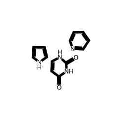 O=c1cc[nH]c(=O)[nH]1.c1cc[nH]c1.c1ccncc1